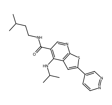 CC(C)CCNC(=O)c1cnc2sc(-c3ccnnc3)cc2c1NC(C)C